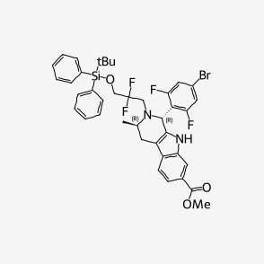 COC(=O)c1ccc2c3c([nH]c2c1)[C@@H](c1c(F)cc(Br)cc1F)N(CC(F)(F)CO[Si](c1ccccc1)(c1ccccc1)C(C)(C)C)[C@H](C)C3